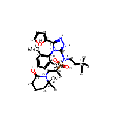 COc1cccc(OC)c1-n1c(-c2ccco2)nnc1N(CC[Si](C)(C)C)S(=O)(=O)C(C)CN1C(=O)CCCC1(C)C#N